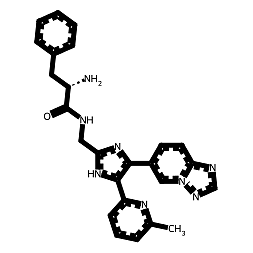 Cc1cccc(-c2[nH]c(CNC(=O)[C@@H](N)Cc3ccccc3)nc2-c2ccc3ncnn3c2)n1